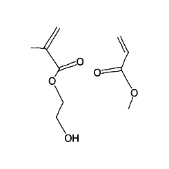 C=C(C)C(=O)OCCO.C=CC(=O)OC